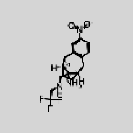 N[C@@]1(CNCC(F)(F)F)[C@@H]2CC[C@H]1Cc1ccc([N+](=O)[O-])cc1C2